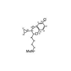 CNCCCCCC(Oc1cc(Cl)ccc1Cl)C1CC1